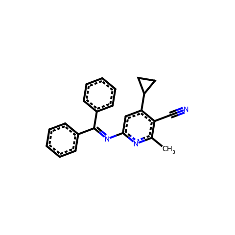 Cc1nc(N=C(c2ccccc2)c2ccccc2)cc(C2CC2)c1C#N